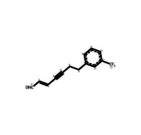 O=CC=CC#CCCc1cccc(C(F)(F)F)c1